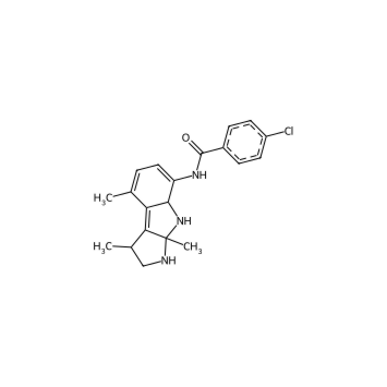 CC1=CC=C(NC(=O)c2ccc(Cl)cc2)C2NC3(C)NCC(C)C3=C12